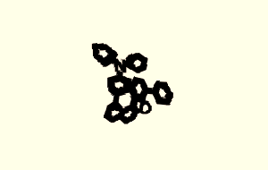 c1ccc(-c2cccc3c2oc2ccc4cccc(-c5ccc(N(c6ccccc6)c6ccccc6)cc5)c4c23)cc1